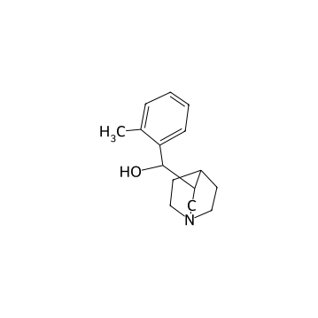 Cc1ccccc1C(O)C1CN2CCC1CC2